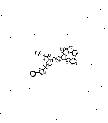 CC(C)(c1ncc(-c2ccccc2)o1)N1CCN(C[C@@H](O)C[C@H](Cc2cc3ccncc3o2)C(=O)N[C@H]2c3ccccc3OC[C@H]2O)[C@H](C(=O)NCC(F)(F)F)C1